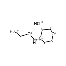 CCONN1CCOCC1.Cl